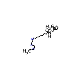 CC/C=C\C/C=C\C/C=C\CCCCCCCC(=O)NCCC1CCCN1C